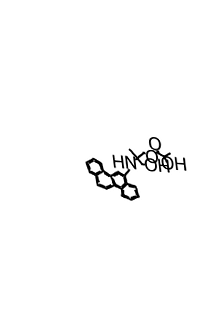 CC(O)C(=O)OCC(C)(CO)NCc1cc2c3ccccc3ccc2c2ccccc12